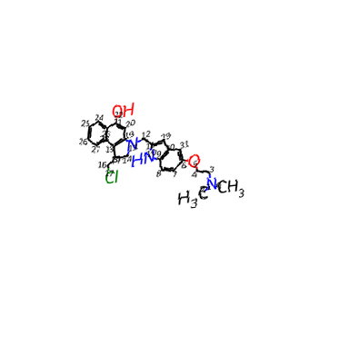 CN(C)CCOc1ccc2[nH]c(CN3C[C@@H](CCl)c4c3cc(O)c3ccccc43)cc2c1